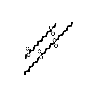 CCCCCCCCOC(=O)CCCCC(=O)OCCCCCCCC.CCOC(=O)CCCCCCCCC(=O)OCC